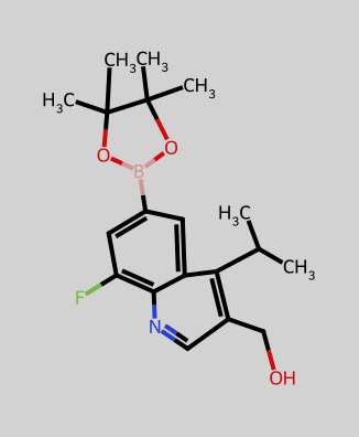 CC(C)c1c(CO)cnc2c(F)cc(B3OC(C)(C)C(C)(C)O3)cc12